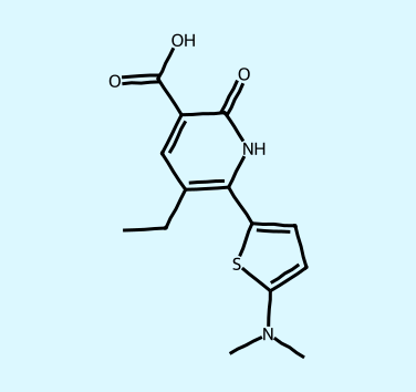 CCc1cc(C(=O)O)c(=O)[nH]c1-c1ccc(N(C)C)s1